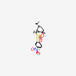 C=C(C)[C@@H]1CC[C@]2(C)O[P@@](=S)(Oc3ccc([N+](=O)[O-])cc3)S[C@H]2C1